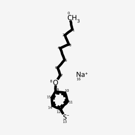 CCCCCCCCOc1ccc([S-])cc1.[Na+]